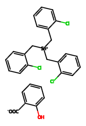 Clc1ccccc1[CH2][Sn+]([CH2]c1ccccc1Cl)[CH2]c1ccccc1Cl.O=C([O-])c1ccccc1O